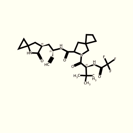 C#C[C@H](C[C@@H]1CC2(CC2)NC1=O)NC(=O)C1CC2(CCC2)CN1C(=O)[C@@H](NC(=O)C(F)(F)F)C(C)(C)C